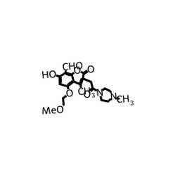 COCCOc1cc(O)c(C=O)c2oc(=O)c(CC(=O)N3CCN(C)CC3)c(C)c12